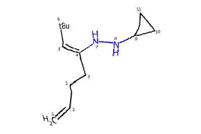 C=CCC/C(=C/C(C)(C)C)NNC1CC1